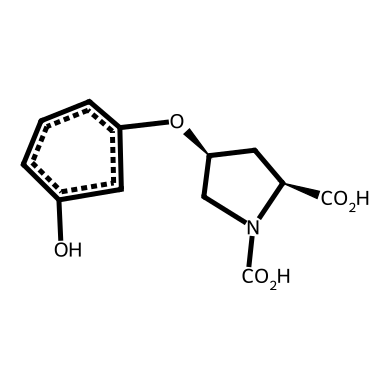 O=C(O)[C@@H]1C[C@H](Oc2cccc(O)c2)CN1C(=O)O